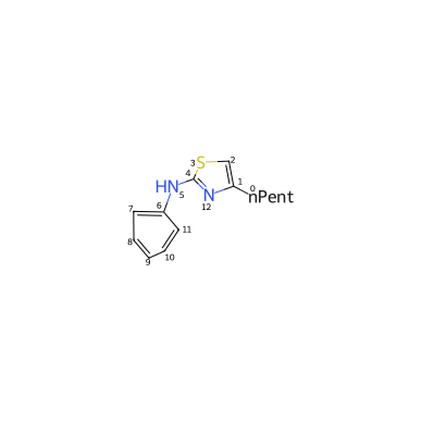 CCCCCc1csc(Nc2ccccc2)n1